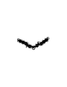 O=C(CCC1CCC(C(F)C[C@H]2CC[C@H](c3ccc(-c4ccc(F)cc4)cc3)CC2)CC1)CC[C@H]1CC[C@H](C(F)C[C@H]2CC[C@H](c3ccc(-c4ccc(F)cc4)cc3)CC2)CC1